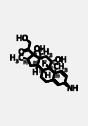 C[C@@H]1C[C@H]2[C@@H]3CCC4=CC(=N)C=C[C@]4(C)[C@@]3(F)[C@@H](O)C[C@]2(C)[C@@]1(O)C(=O)CO